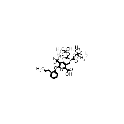 C=CCc1ccccc1Oc1nc(C(=O)O)c(CN(C(=O)OC(C)(C)C)C(=O)OC(C)(C)C)cc1C(F)(F)F